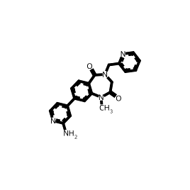 CN1C(=O)CN(Cc2ccccn2)C(=O)c2ccc(-c3ccnc(N)c3)cc21